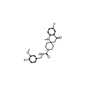 COc1cc(CNC(=O)N2CCC3(CC2)CC(=O)c2cc(F)ccc2N3C)ccc1F